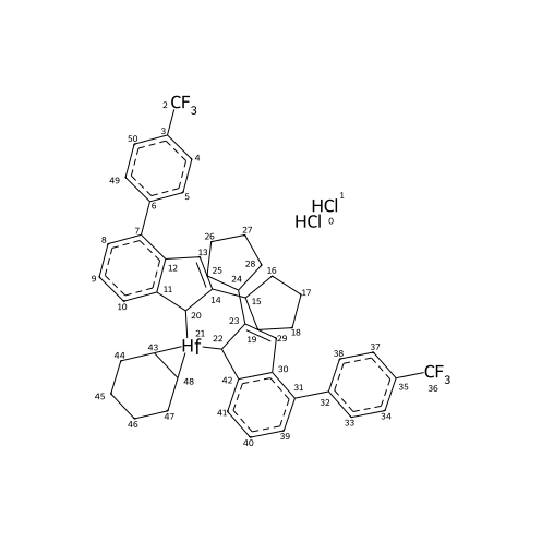 Cl.Cl.FC(F)(F)c1ccc(-c2cccc3c2C=C(C2CCCC2)[CH]3[Hf]2([CH]3C(C4CCCC4)=Cc4c(-c5ccc(C(F)(F)F)cc5)cccc43)[CH]3CCCC[CH]32)cc1